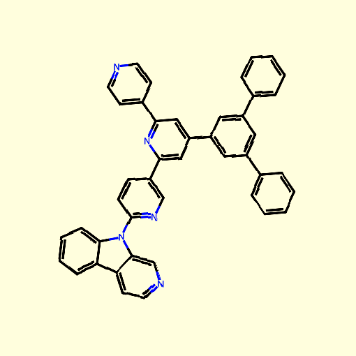 c1ccc(-c2cc(-c3ccccc3)cc(-c3cc(-c4ccncc4)nc(-c4ccc(-n5c6ccccc6c6ccncc65)nc4)c3)c2)cc1